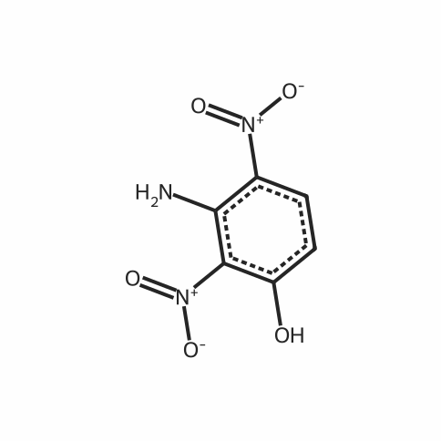 Nc1c([N+](=O)[O-])ccc(O)c1[N+](=O)[O-]